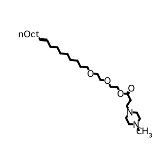 CCCCCCCCC=CCCCCCCCCOCCOCCOC(=O)CCN1CCN(C)CC1